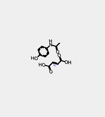 CC(=O)Nc1ccc(O)cc1.O=C(O)/C=C/C(=O)O